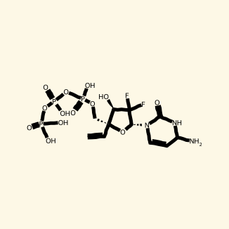 C=C[C@]1(COP(=O)(O)OP(=O)(O)OP(=O)(O)O)O[C@@H](N2C=CC(N)NC2=O)C(F)(F)[C@@H]1O